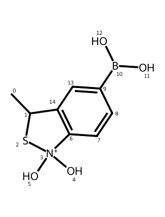 CC1S[N+](O)(O)c2ccc(B(O)O)cc21